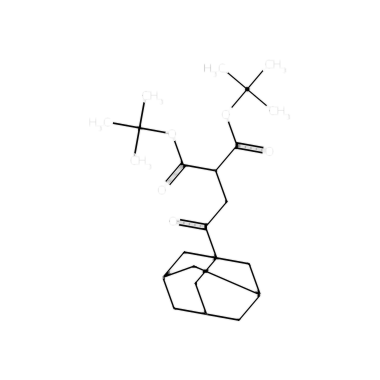 CC(C)(C)OC(=O)C(CC(=O)C12CC3CC(CC(C3)C1)C2)C(=O)OC(C)(C)C